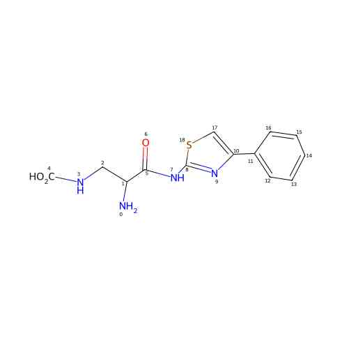 NC(CNC(=O)O)C(=O)Nc1nc(-c2ccccc2)cs1